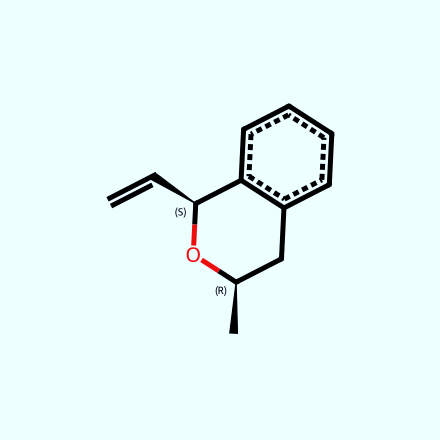 C=C[C@@H]1O[C@H](C)Cc2ccccc21